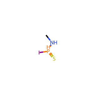 CN[PH](=S)I